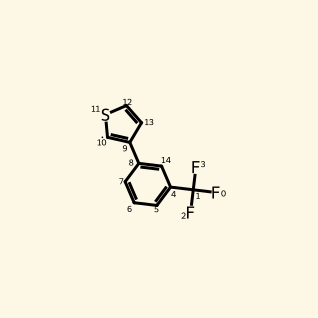 FC(F)(F)c1cccc(-c2[c]scc2)c1